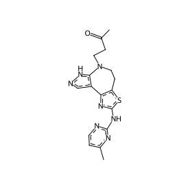 CC(=O)CCN1CCc2sc(Nc3nccc(C)n3)nc2-c2cn[nH]c21